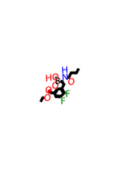 CCCC(=O)N[C@H]1Cc2c(F)c(F)cc(C(=O)OCC)c2OB1O